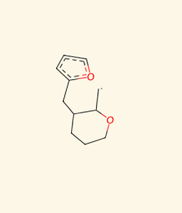 [CH2]C1OCCCC1Cc1ccco1